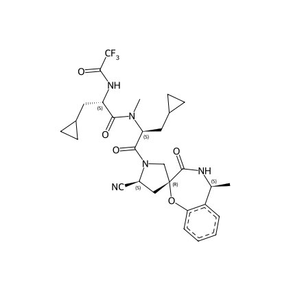 C[C@@H]1NC(=O)[C@]2(C[C@@H](C#N)N(C(=O)[C@H](CC3CC3)N(C)C(=O)[C@H](CC3CC3)NC(=O)C(F)(F)F)C2)Oc2ccccc21